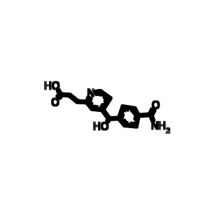 NC(=O)c1ccc(C(O)c2ccnc(CCC(=O)O)c2)cc1